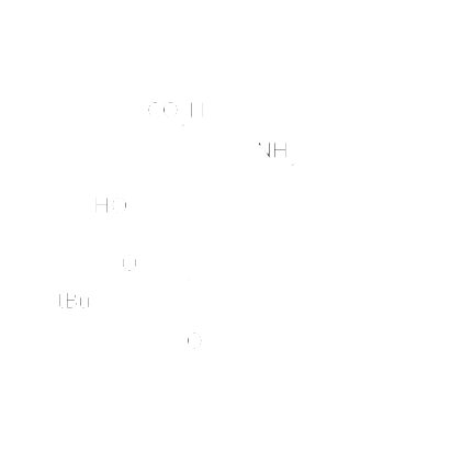 CC(C)(C)OC(=O)C(c1ccccc1)[C@@H](N)[C@H](O)C(=O)O